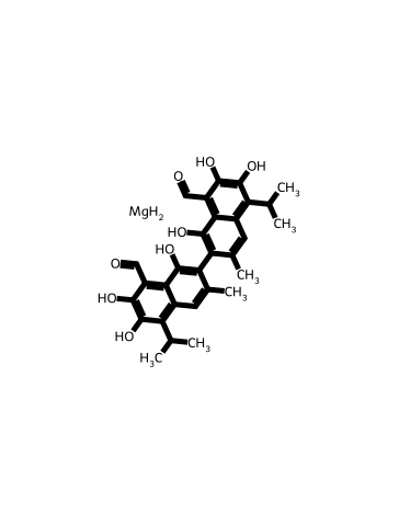 Cc1cc2c(C(C)C)c(O)c(O)c(C=O)c2c(O)c1-c1c(C)cc2c(C(C)C)c(O)c(O)c(C=O)c2c1O.[MgH2]